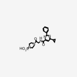 O=C(NCC(=O)N1CCN(C(=O)O)CC1)c1cc(C2CC2)nc(-c2ccccc2)n1